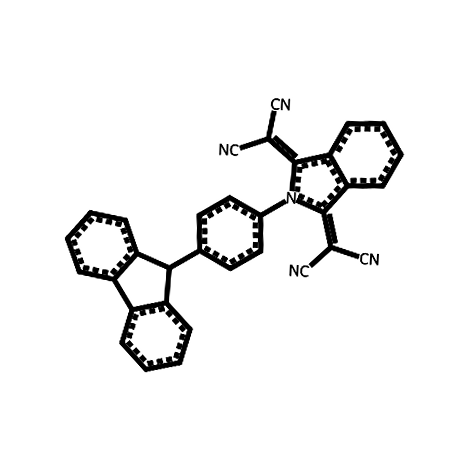 N#CC(C#N)=c1c2ccccc2c(=C(C#N)C#N)n1-c1ccc(C2c3ccccc3-c3ccccc32)cc1